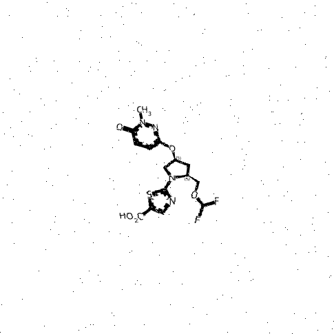 Cn1nc(O[C@H]2C[C@@H](COC(F)F)N(c3ncc(C(=O)O)s3)C2)ccc1=O